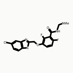 CNCNC(=O)c1c(F)ccc(OCc2nc3cc(Cl)ccc3s2)c1F